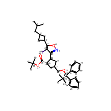 CC(C)CC1CC(c2onc(C3CC(CO[Si](c4ccccc4)(c4ccccc4)C(C)(C)C)C[C@@H]3C(=O)OC(C)(C)C)c2I)C1